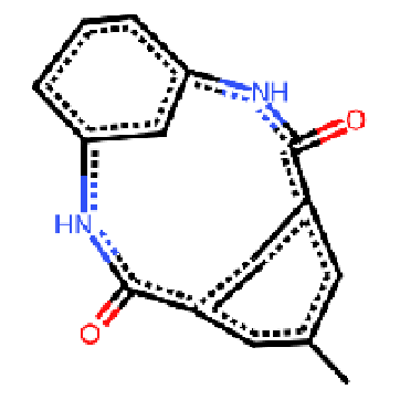 Cc1cc2cc(c1)c(=O)[nH]c1cccc(c1)[nH]c2=O